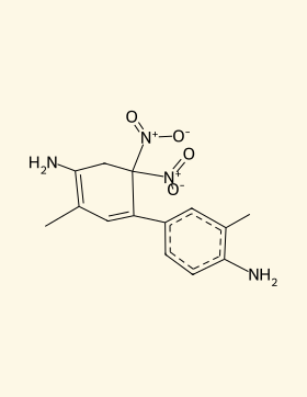 CC1=C(N)CC([N+](=O)[O-])([N+](=O)[O-])C(c2ccc(N)c(C)c2)=C1